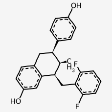 C[C@@H]1[C@H](c2ccc(O)cc2)Cc2ccc(O)cc2[C@@H]1Cc1c(F)cccc1F